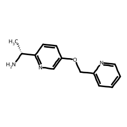 C[C@@H](N)c1ccc(OCc2ccccn2)cn1